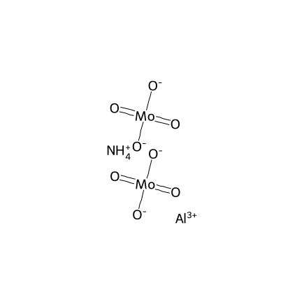 [Al+3].[NH4+].[O]=[Mo](=[O])([O-])[O-].[O]=[Mo](=[O])([O-])[O-]